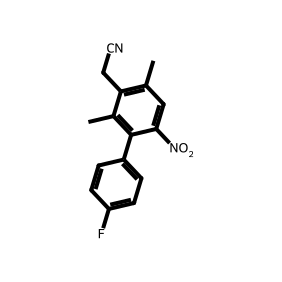 Cc1cc([N+](=O)[O-])c(-c2ccc(F)cc2)c(C)c1CC#N